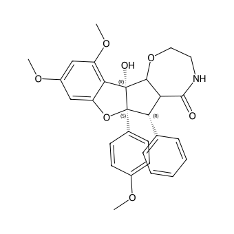 COc1ccc([C@]23Oc4cc(OC)cc(OC)c4[C@@]2(O)C2OCCNC(=O)C2[C@@H]3c2ccccc2)cc1